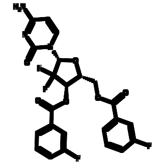 Nc1ccn([C@@H]2O[C@H](COC(=O)c3cccc(F)c3)[C@@H](OC(=O)c3cccc(F)c3)C2(F)F)c(=O)n1